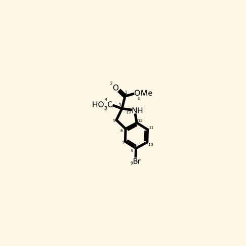 COC(=O)C1(C(=O)O)Cc2cc(Br)ccc2N1